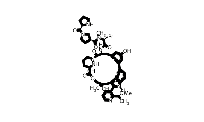 CCn1c(-c2cccnc2[C@H](C)OC)c2c3cc(ccc31)-c1cc(O)cc(c1)C[C@H](NC(=O)[C@H](C(C)C)N(C)C(=O)[C@H]1CCN(C(=O)[C@H]3CCCN3)C1)C(=O)N1CCC[C@@](O)(N1)C(=O)OCC(C)(C)C2